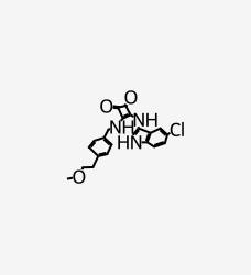 COCCc1ccc(CNc2c(Nc3c[nH]c4ccc(Cl)cc34)c(=O)c2=O)cc1